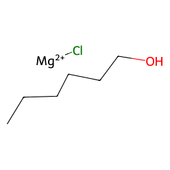 CCCCCCO.[Mg+2][Cl]